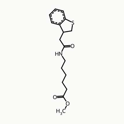 COC(=O)CCCCCNC(=O)CC1CSc2ccccc21